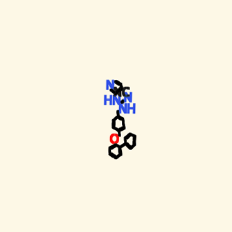 N#C/N=C(/NCc1ccc(COc2ccccc2-c2ccccc2)cc1)Nc1cccnc1